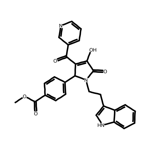 COC(=O)c1ccc(C2C(C(=O)c3cccnc3)=C(O)C(=O)N2CCc2c[nH]c3ccccc23)cc1